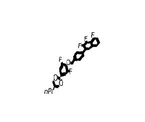 CCC[C@H]1CO[C@H](c2cc(F)c(OCc3ccc(-c4cc5cccc(F)c5c(F)c4F)cc3)c(F)c2)OC1